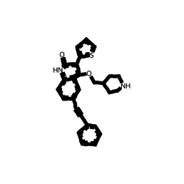 O=c1[nH]c2ccc(C#Cc3ccccc3)cc2c(OCC2CCNCC2)c1-c1cccs1